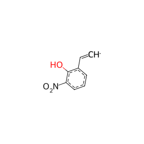 [CH]=Cc1cccc([N+](=O)[O-])c1O